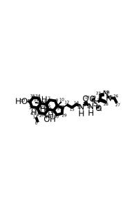 CC[C@H]1[C@@H](O)[C@@H]2[C@H](CC[C@]3(C)[C@@H](CCCNC(=O)NS(=O)(=O)c4cnn(CC)c4)CC[C@@H]23)[C@@]2(C)CC[C@@H](O)C[C@@H]12